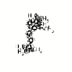 CCCCOc1ccc(N(Cc2ccnc(-c3cc(OC)c(OC)c(OC)c3)c2)C2CCN(Cc3cccc(-c4cc(OC)c(OC)c(OC)c4)c3)CC2)cc1